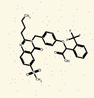 CCCCc1nc2ccc(S(C)(=O)=O)cc2c(=O)n1Cc1ccc(OC(C(=O)O)c2ccccc2C(F)(F)F)cc1